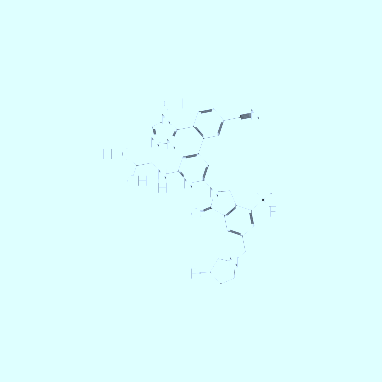 CC(C)CNc1cc(-c2cc(C#N)ccc2-c2nncn2C)cc(N2Cc3c(cc(CN4CC[C@@H](F)C4)cc3C(F)(F)F)C2=O)n1